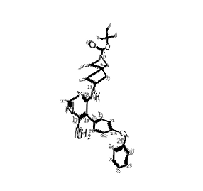 CC(C)(C)OC(=O)N1CC2(CC(Nc3ncnc(N)c3-c3ccc(Oc4ccccc4)cc3)C2)C1